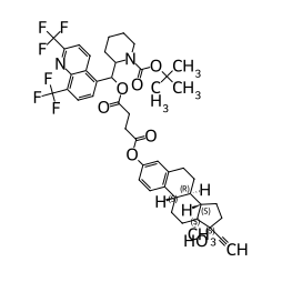 C#C[C@]1(O)CC[C@H]2[C@@H]3CCc4cc(OC(=O)CCC(=O)OC(c5ccc(C(F)(F)F)c6nc(C(F)(F)F)ccc56)C5CCCCN5C(=O)OC(C)(C)C)ccc4[C@H]3CC[C@@]21C